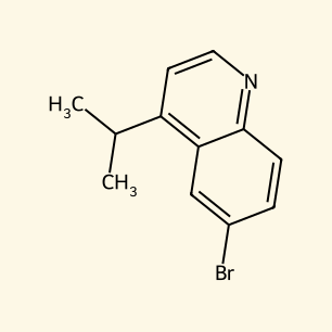 CC(C)c1ccnc2ccc(Br)cc12